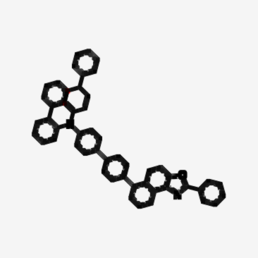 C1=CC(c2ccccc2)CC=C1N(c1ccc(-c2ccc(-c3cccc4c3ccc3oc(-c5ccccc5)nc34)cc2)cc1)c1ccccc1-c1ccccc1